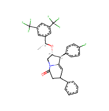 C[C@@H](O[C@H]1CN2C(=O)CC(c3ccccc3)C=C2[C@@H]1c1ccc(F)cc1)c1cc(C(F)(F)F)cc(C(F)(F)F)c1